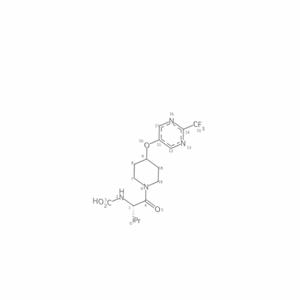 CC(C)[C@H](NC(=O)O)C(=O)N1CCC(Oc2cnc(C(F)(F)F)nc2)CC1